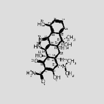 CN(C)[C@@H]1C(O)=C(C(N)=O)C(=O)[C@@]2(O)c3[nH]nc4c3[C@H](C[C@@H]12)[C@](C)(O)c1cccc(O)c1-4